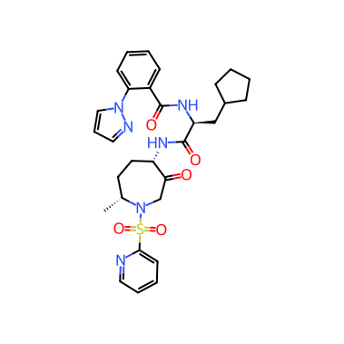 C[C@@H]1CC[C@H](NC(=O)[C@H](CC2CCCC2)NC(=O)c2ccccc2-n2cccn2)C(=O)CN1S(=O)(=O)c1ccccn1